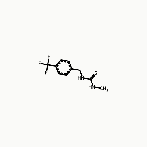 CNC(=S)NCc1ccc(C(F)(F)F)cc1